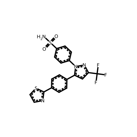 NS(=O)(=O)c1ccc(-n2nc(C(F)(F)F)cc2-c2ccc(-c3nccs3)cc2)cc1